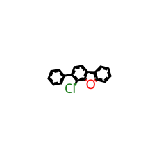 Clc1c(-c2ccccc2)ccc2c1oc1ccccc12